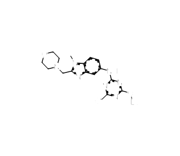 CCOc1nc(Cl)nc(Nc2ccc3c(c2)nc(CN2CCOCC2)n3C)n1